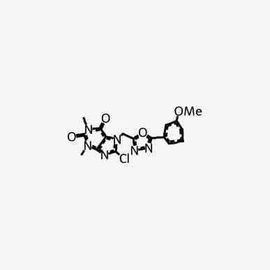 COc1cccc(-c2nnc(Cn3c(Cl)nc4c3c(=O)n(C)c(=O)n4C)o2)c1